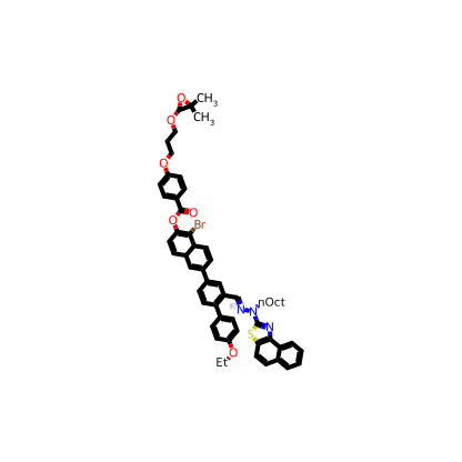 CCCCCCCCN(/N=C/c1cc(C2=CC3C=CC(OC(=O)c4ccc(OCCCOC5OC5(C)C)cc4)=C(Br)C3C=C2)ccc1-c1ccc(OCC)cc1)c1nc2c(ccc3ccccc32)s1